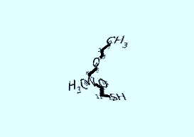 CCCCOCCN(C)C(=O)CS